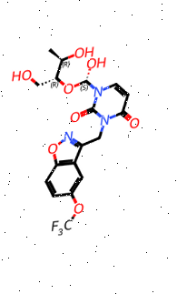 C[C@@H](O)[C@@H](CO)O[C@H](O)n1ccc(=O)n(Cc2noc3ccc(OC(F)(F)F)cc23)c1=O